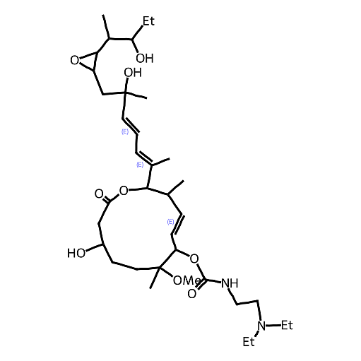 CCC(O)C(C)C1OC1CC(C)(O)/C=C/C=C(\C)C1OC(=O)CC(O)CCC(C)(OC)C(OC(=O)NCCN(CC)CC)/C=C/C1C